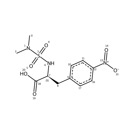 CN(C)S(=O)(=O)N[C@@H](Cc1ccc([N+](=O)[O-])cc1)C(=O)O